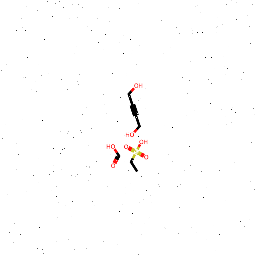 CCS(=O)(=O)O.O=CO.OCC#CCO